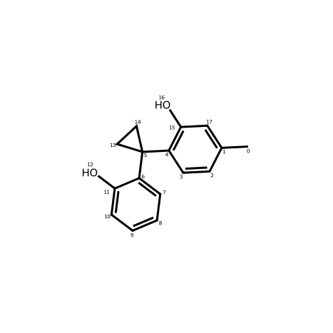 Cc1ccc(C2(c3ccccc3O)CC2)c(O)c1